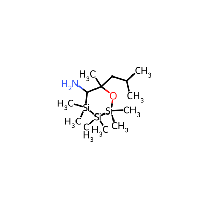 CC(C)CC1(C)O[Si](C)(C)[Si](C)(C)[Si](C)(C)C1N